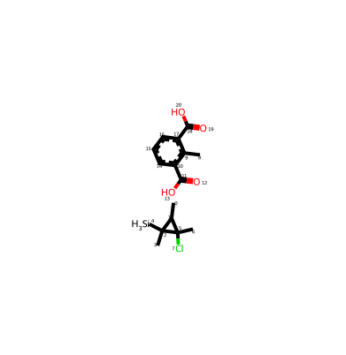 CC1C(C)([SiH3])C1(C)Cl.Cc1c(C(=O)O)cccc1C(=O)O